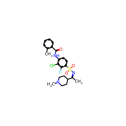 C/C(=N/S(=O)(=O)c1ccc(NC(=O)c2ccccc2C)c(Cl)c1F)C1CCN(C)CC1